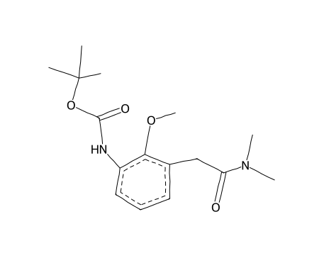 COc1c(CC(=O)N(C)C)cccc1NC(=O)OC(C)(C)C